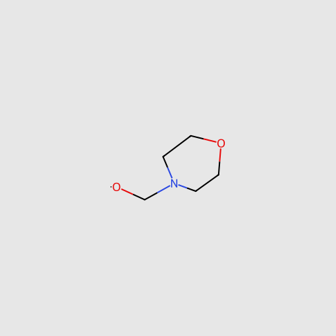 [O]CN1CCOCC1